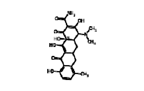 Cc1ccc(O)c2c1CC1CC3C(N(C)C)C(O)=C(C(N)=O)C(=O)[C@@]3(O)C(O)=C1C2=O